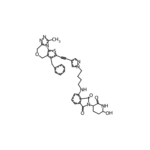 Cc1nnc2n1-c1sc(C#Cc3cnn(CCCCNc4cccc5c4C(=O)N(C4CCC(O)NC4=O)C5=O)c3)c(Cc3ccccc3)c1COC2